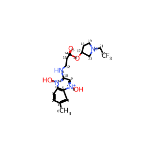 Cc1ccc2c(c1)[n+](O)cc(NCCC(=O)OC1CCN(CC(F)(F)F)C1)[n+]2O